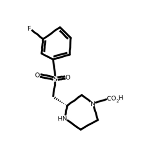 O=C(O)N1CCN[C@H](CS(=O)(=O)c2cccc(F)c2)C1